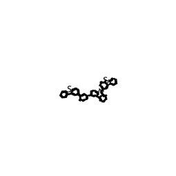 c1cc(-c2ccc3sc4ccccc4c3c2)cc(-c2ccc3c(c2)c2ccccc2n3-c2ccc3sc4ccccc4c3c2)c1